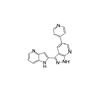 c1cnc2cc(-c3n[nH]c4ncc(-c5ccncc5)cc34)[nH]c2c1